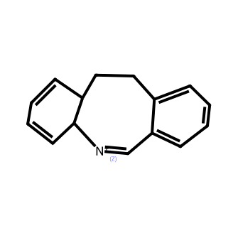 C1=CC2CCc3ccccc3/C=[N+]\C2C=C1